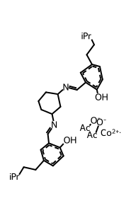 CC(=O)[O-].CC(=O)[O-].CC(C)CCc1ccc(O)c(C=NC2CCCC(N=Cc3cc(CCC(C)C)ccc3O)C2)c1.[Co+2]